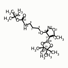 Cc1onc(OCCCNC(=O)OC(C)(C)C)c1B1OC(C)(C)C(C)(C)O1